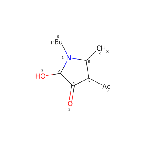 CCCCN1C(O)C(=O)C(C(C)=O)C1C